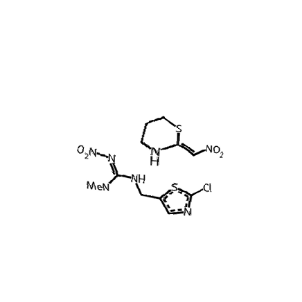 CN/C(=N\[N+](=O)[O-])NCc1cnc(Cl)s1.O=[N+]([O-])/C=C1/NCCCS1